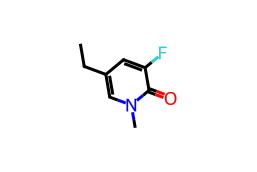 CCc1cc(F)c(=O)n(C)c1